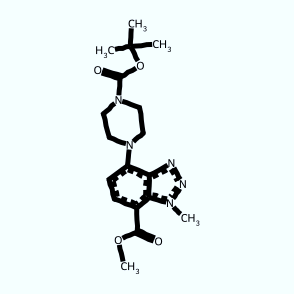 COC(=O)c1ccc(N2CCN(C(=O)OC(C)(C)C)CC2)c2nnn(C)c12